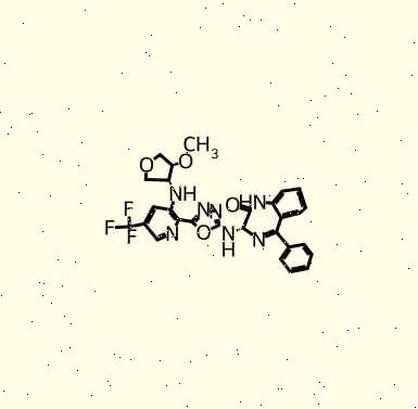 CO[C@@H]1COC[C@H]1Nc1cc(C(F)(F)F)cnc1-c1nnc(N[C@H]2N=C(c3ccccc3)c3ccccc3NC2=O)o1